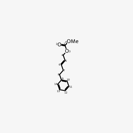 COC(=O)OCC=CCCc1ccccc1